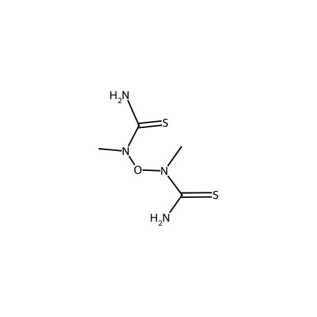 CN(ON(C)C(N)=S)C(N)=S